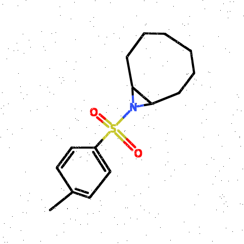 Cc1ccc(S(=O)(=O)N2C3CCCCCCC32)cc1